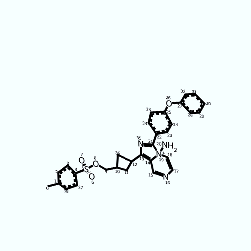 Cc1ccc(S(=O)(=O)OCC2CC(C3=C4C=NC=C[N+]4(N)C(c4ccc(Oc5ccccc5)cc4)=N3)C2)cc1